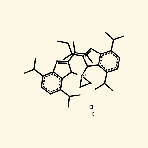 CCC(C)C1=Cc2c(C(C)C)ccc(C(C)C)c2[CH]1[Hf+2]1([CH]2C(C(C)CC)=Cc3c(C(C)C)ccc(C(C)C)c32)[CH2][CH2]1.[Cl-].[Cl-]